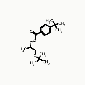 C[C](COC(C)(C)C)OOC(=O)c1ccc(C(C)(C)C)cc1